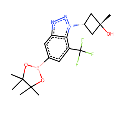 CC1(C)OB(c2cc(C(F)(F)F)c3c(c2)nnn3[C@H]2C[C@@](C)(O)C2)OC1(C)C